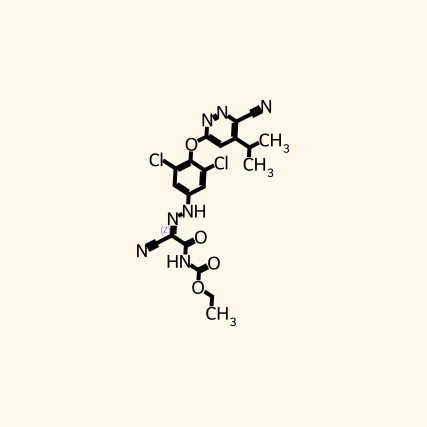 CCOC(=O)NC(=O)/C(C#N)=N\Nc1cc(Cl)c(Oc2cc(C(C)C)c(C#N)nn2)c(Cl)c1